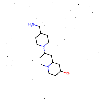 CC(CC1CC(O)CCN1C)N1CCC(CN)CC1